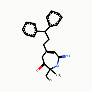 CC(C)CC1(C)NC(=N)C=C(CCC(c2ccccc2)c2ccccc2)CC1=O